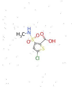 CNS(=O)(=O)c1cc(Cl)sc1C(=O)O